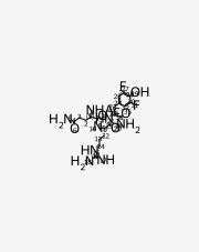 CC(=O)N[C@@H](CCC(N)=O)C(=O)N(C)[C@@H](CCCNC(=N)N)C(=O)N[C@@H](Cc1cc(F)c(O)c(F)c1)C(N)=O